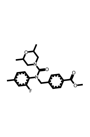 COC(=O)c1ccc(CN(C(=O)N2CC(C)OC(C)C2)c2ccc(C)cc2F)cc1